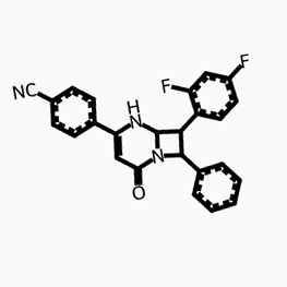 N#Cc1ccc(C2=CC(=O)N3C(N2)C(c2ccc(F)cc2F)C3c2ccccc2)cc1